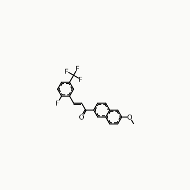 COc1ccc2cc(C(=O)/C=C/c3cc(C(F)(F)F)ccc3F)ccc2c1